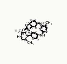 Cc1cnc(Nc2ccc(N3CC(C)NCC3C)nc2)nc1Nc1ccc2oc(=O)[nH]c2c1